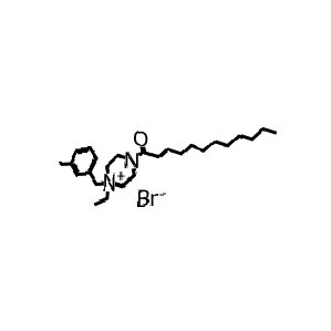 CCCCCCCCCCCC(=O)N1CC[N+](CC)(Cc2cccc(C)c2)CC1.[Br-]